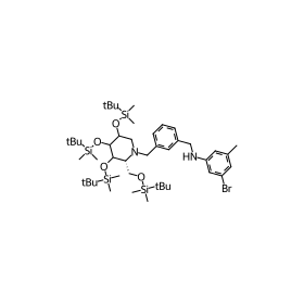 Cc1cc(Br)cc(NCc2cccc(CN3CC(O[Si](C)(C)C(C)(C)C)C(O[Si](C)(C)C(C)(C)C)C(O[Si](C)(C)C(C)(C)C)[C@H]3CO[Si](C)(C)C(C)(C)C)c2)c1